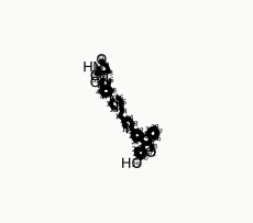 O=C1CCC(N2Cc3cc(N4CCN(CCC5CCN(c6ccc(C7c8ccc(O)cc8OCC7c7ccccc7)cc6)CC5)CC4)ccc3C2=O)C(=O)N1